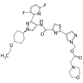 CCO[C@H]1CC[C@H](n2cc(NC(=O)c3csc(-c4cnn(COC(=O)CN5CCOCC5)c4)n3)c(-c3nc(F)ccc3F)n2)CC1